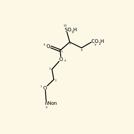 CCCCCCCCCOCCOC(=O)C(CC(=O)O)S(=O)(=O)O